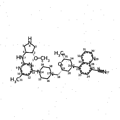 CO[C@H]1CNCC1Nc1nc(C)cc(N2CCN(C[C@H]3CN(c4ccc(C#N)c5ncccc45)C[C@@H](C)O3)CC2)n1